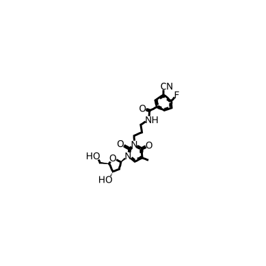 Cc1cn([C@H]2C[C@H](O)[C@@H](CO)O2)c(=O)n(CCCNC(=O)c2ccc(F)c(C#N)c2)c1=O